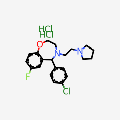 Cl.Cl.Fc1ccc2c(c1)C(c1ccc(Cl)cc1)N(CCN1CCCC1)CCO2